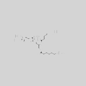 CCCCCCCCCCCCCCCC(=O)OCC(COP(=O)(O)OCC[N+](C)(C)C)OC(=O)CCCC(=O)O